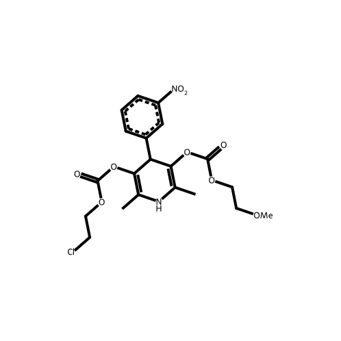 COCCOC(=O)OC1=C(C)NC(C)=C(OC(=O)OCCCl)C1c1cccc([N+](=O)[O-])c1